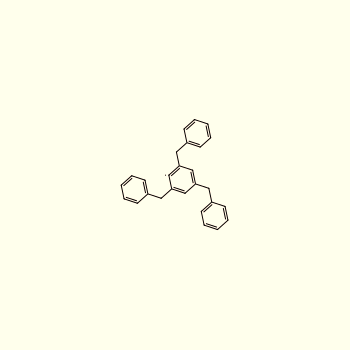 [c]1c(Cc2ccccc2)cc(Cc2ccccc2)cc1Cc1ccccc1